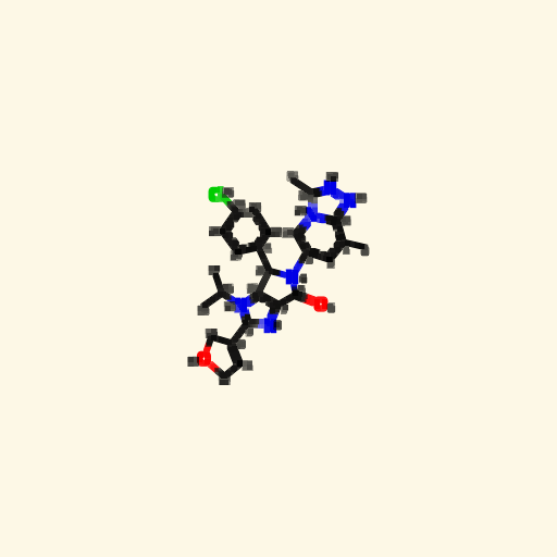 Cc1cc(N2C(=O)c3nc(C4=CCOC4)n(C(C)C)c3C2c2ccc(Cl)cc2)cn2c(C)nnc12